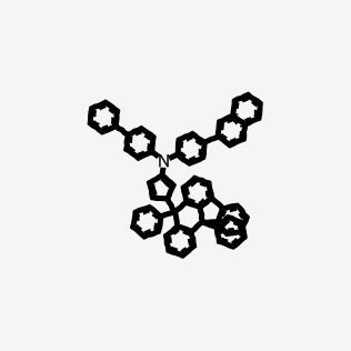 C1=CC(C2(c3ccccc3)c3ccccc3C3(c4ccccc4)c4ccccc4-c4cccc2c43)C=C1N(c1ccc(-c2ccccc2)cc1)c1ccc(-c2ccc3ccccc3c2)cc1